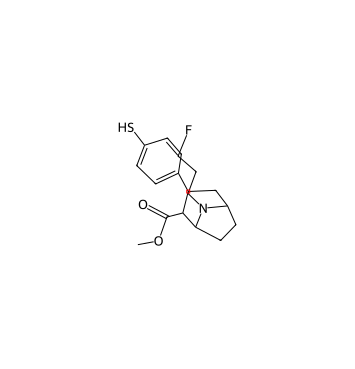 COC(=O)C1C(c2ccc(S)cc2)CC2CCC1N2CCCF